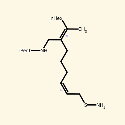 CCCCCC/C(C)=C(/CCC/C=C\CSN)CNC(C)CCC